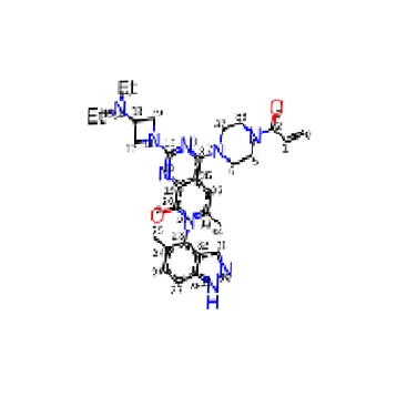 C=CC(=O)N1CCN(c2nc(N3CC(N(CC)CC)C3)nc3c(=O)n(-c4c(C)ccc5[nH]ncc45)c(C)cc23)CC1